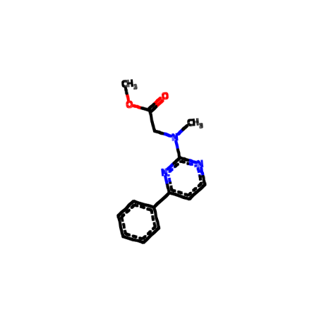 COC(=O)CN(C)c1nccc(-c2ccccc2)n1